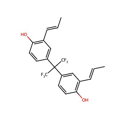 CC=Cc1cc(C(c2ccc(O)c(C=CC)c2)(C(F)(F)F)C(F)(F)F)ccc1O